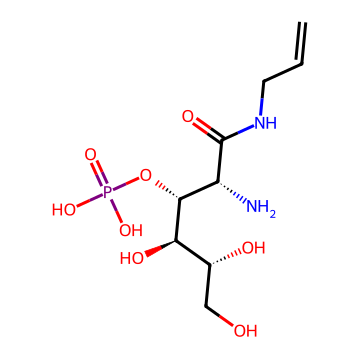 C=CCNC(=O)[C@H](N)[C@@H](OP(=O)(O)O)[C@H](O)[C@H](O)CO